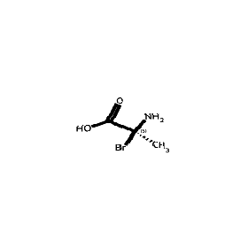 C[C@](N)(Br)C(=O)O